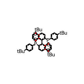 CC(C)(C)c1ccc(P(c2ccc(C(C)(C)C)cc2)c2ccc3c(c2-c2c(P(c4ccc(C(C)(C)C)cc4)c4ccc(C(C)(C)C)cc4)ccc4c2OCO4)OCO3)cc1